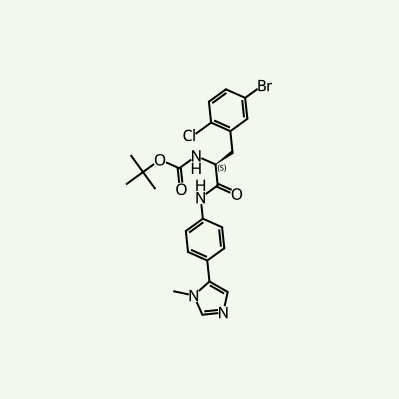 Cn1cncc1-c1ccc(NC(=O)[C@H](Cc2cc(Br)ccc2Cl)NC(=O)OC(C)(C)C)cc1